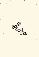 O=C(NC1CCC(Oc2nc(N3CCOCC3)cc3ncccc23)CC1)c1ccncn1